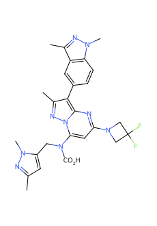 Cc1cc(CN(C(=O)O)c2cc(N3CC(F)(F)C3)nc3c(-c4ccc5c(c4)c(C)nn5C)c(C)nn23)n(C)n1